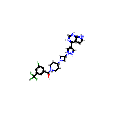 O=C(c1cc(F)cc(C(F)(F)F)c1)N1CCC(N2CC(n3cc(-c4ncnc5[nH]ccc45)cn3)C2)CC1